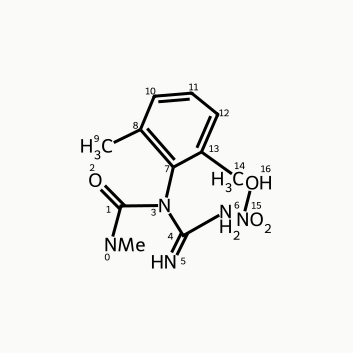 CNC(=O)N(C(=N)N)c1c(C)cccc1C.O=[N+]([O-])O